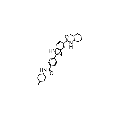 CC1CCC(NC(=O)c2ccc(-c3nc4cc(C(=O)NC5CCCCC5C)ccc4[nH]3)cc2)CC1